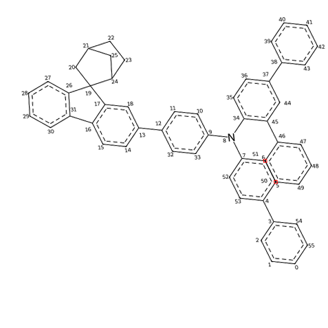 c1ccc(-c2ccc(N(c3ccc(-c4ccc5c(c4)C4(CC6CCC4C6)c4ccccc4-5)cc3)c3ccc(-c4ccccc4)cc3-c3ccccc3)cc2)cc1